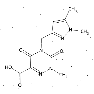 Cc1cc(Cn2c(=O)c(C(=O)O)nn(C)c2=O)nn1C